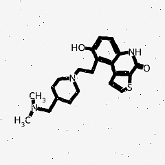 CN(C)CC1CCN(CCc2c(O)ccc3[nH]c(=O)c4sccc4c23)CC1